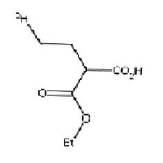 [2H]CCC(C(=O)O)C(=O)OCC